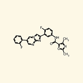 Cc1nc(C)c(C(=O)Nc2ccc(F)c(-c3cn4cc(-c5ccccc5F)cnc4n3)c2)o1